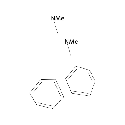 CNC.CNC.c1ccccc1.c1ccccc1